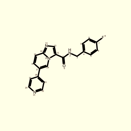 O=C(NCc1ccc(F)cc1)c1cnc2ccc(-c3ccncc3)cn12